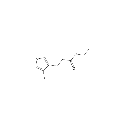 CCOC(=O)CCc1cscc1C